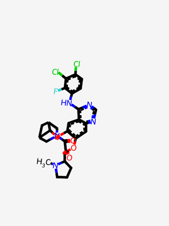 CN1CCCC1COc1cc2ncnc(Nc3ccc(Cl)c(Cl)c3F)c2cc1OC1C2CC1CN(C(=O)C=O)C2